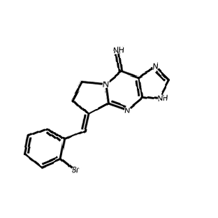 N=c1c2nc[nH]c2nc2n1CC/C2=C\c1ccccc1Br